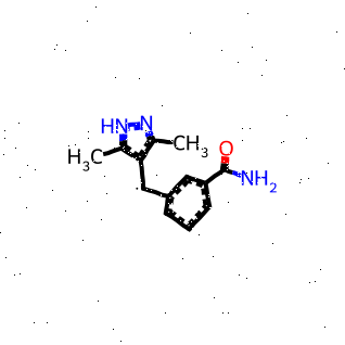 Cc1n[nH]c(C)c1[CH]c1cccc(C(N)=O)c1